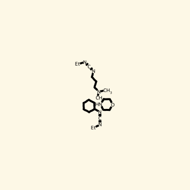 C1COCCN1.CCN=C=NC1CCCCC1.CCN=C=NCCCN(C)C